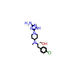 CN(C1CCN(c2nc(N)n[nH]2)CC1)[C@H](CO)Cc1ccc(Cl)cc1